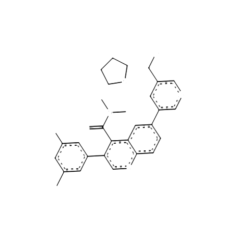 Cc1cc(F)cc(-c2cnc3ccc(-c4cncc(CO)c4)cc3c2C(=O)N(C)C[C@@H]2CCCN2)c1